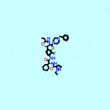 CCC(=O)N[C@@H](C(=O)N1CCN(Cc2ccccc2)CC1)[C@H](C)c1ccc(NC(=O)[C@@H](NC(=O)c2ccnn2CC)C2CCCCC2)c(F)c1